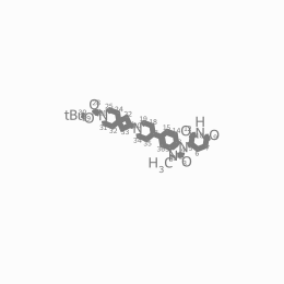 Cn1c(=O)n(C2CCC(=O)NC2=O)c2ccc(C3CCN(C4CC5(CCN(C(=O)OC(C)(C)C)CC5)C4)CC3)cc21